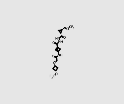 O=C(CO[C@H]1C[C@@H](OC(F)(F)F)C1)NC12CC(C(=O)NNC(=O)[C@@H]3C[C@H]3COC(F)(F)F)(C1)C2